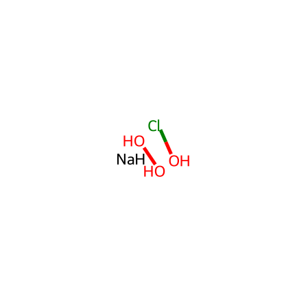 OCl.OO.[NaH]